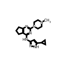 CN1CCN(c2nc3c(c(Nc4cc(C5CC5)[nH]n4)n2)CCC3)CC1